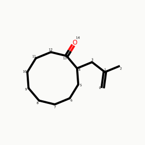 C=C(C)CC1CCCCCCCCC1=O